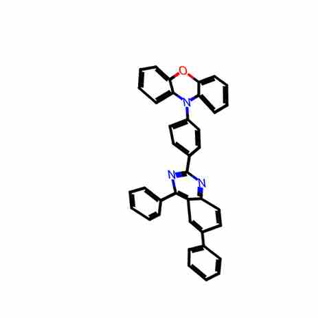 c1ccc(-c2ccc3nc(-c4ccc(N5c6ccccc6Oc6ccccc65)cc4)nc(-c4ccccc4)c3c2)cc1